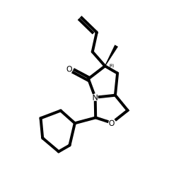 C=CC[C@]1(C)CC2COC(C3CCCCC3)N2C1=O